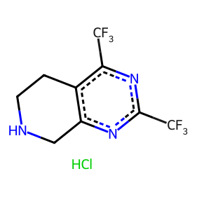 Cl.FC(F)(F)c1nc2c(c(C(F)(F)F)n1)CCNC2